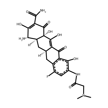 CN(C)CC(=O)Nc1cc(F)c2c(c1O)C(=O)C1=C(O)[C@]3(O)C(=O)C(C(N)=O)=C(O)[C@@H](N)[C@@H]3C[C@@H]1C2